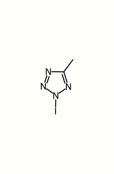 Cc1nnn(I)n1